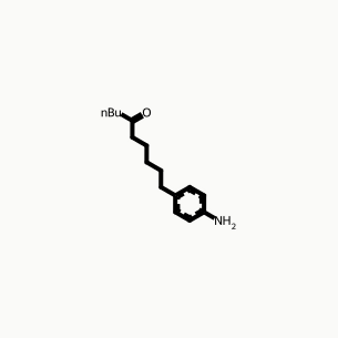 CCCCC(=O)CCCCCc1ccc(N)cc1